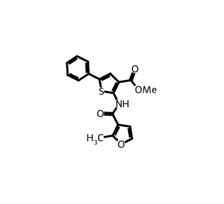 COC(=O)c1cc(-c2ccccc2)sc1NC(=O)c1ccoc1C